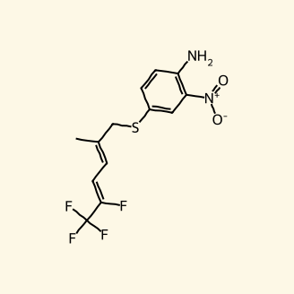 CC(=CC=C(F)C(F)(F)F)CSc1ccc(N)c([N+](=O)[O-])c1